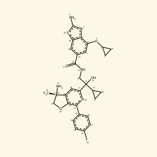 Nc1nc2c(OC3CC3)cc(C(=O)NCC(O)(c3cc4c(c(-c5ccc(F)cc5)n3)OC[C@@]4(N)C(F)(F)F)C3CC3)cc2s1